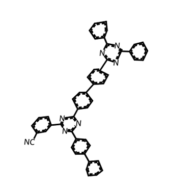 N#Cc1cccc(-c2nc(-c3ccc(-c4ccccc4)cc3)nc(-c3ccc(-c4ccc(-c5nc(-c6ccccc6)nc(-c6ccccc6)n5)cc4)cc3)n2)c1